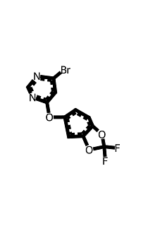 FC1(F)Oc2ccc(Oc3cc(Br)ncn3)cc2O1